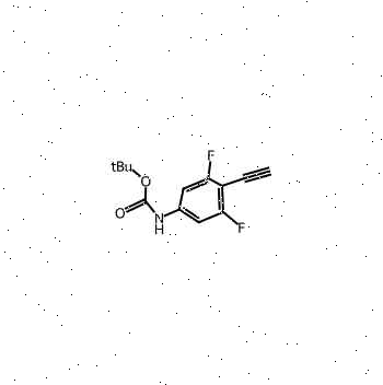 C#Cc1c(F)cc(NC(=O)OC(C)(C)C)cc1F